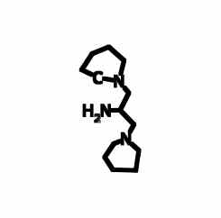 NC(CN1CCCCC1)CN1CCCCC1